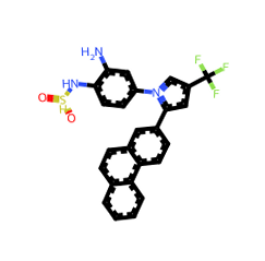 Nc1cc(-n2cc(C(F)(F)F)cc2-c2ccc3c(ccc4ccccc43)c2)ccc1N[SH](=O)=O